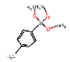 Cc1ccc([Si](O[SiH3])(O[SiH3])O[SiH3])cc1